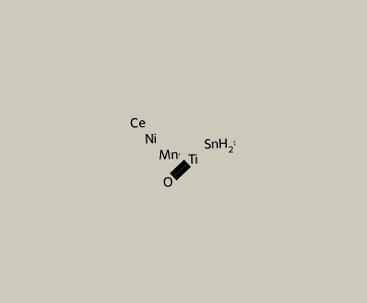 [Ce].[Mn].[Ni].[O]=[Ti].[SnH2]